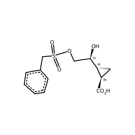 O=C(O)[C@@H]1C[C@H]1[C@H](O)COS(=O)(=O)Cc1ccccc1